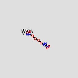 CC(C)(C)OC(=O)NCCOCCOCCOCCOCCn1cc([N+](=O)[O-])cn1